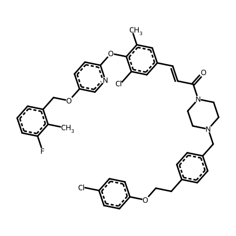 Cc1cc(/C=C/C(=O)N2CCN(Cc3ccc(CCOc4ccc(Cl)cc4)cc3)CC2)cc(Cl)c1Oc1ccc(OCc2cccc(F)c2C)cn1